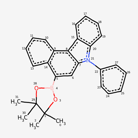 CC1(C)OB(c2cc3c(c4ccccc24)c2ccccc2n3-c2ccccc2)OC1(C)C